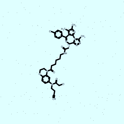 C#CCCN(C(=O)CCl)c1ccc2c(c1)N(C(=O)CCCCCNC(=O)C[C@@H]1N=C(c3ccc(Cl)cc3)c3c(sc(C)c3C)-n3c(C)nnc31)CCO2